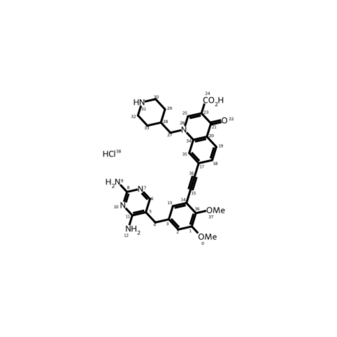 COc1cc(Cc2cnc(N)nc2N)cc(C#Cc2ccc3c(=O)c(C(=O)O)cn(CC4CCNCC4)c3c2)c1OC.Cl